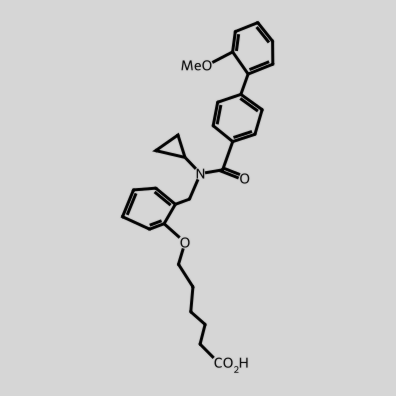 COc1ccccc1-c1ccc(C(=O)N(Cc2ccccc2OCCCCCC(=O)O)C2CC2)cc1